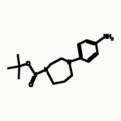 CC(C)(C)OS(=O)N1CCCN(c2ccc(N)cc2)CC1